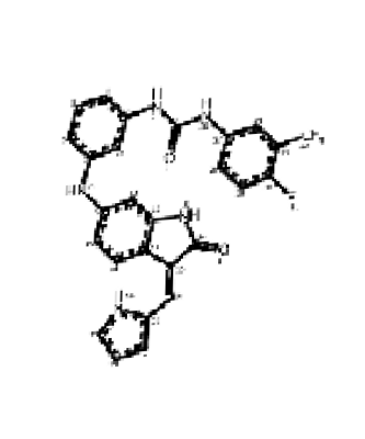 O=C(Nc1cccc(Nc2ccc3c(c2)NC(=O)C3=Cc2ccc[nH]2)c1)Nc1ccc(F)c(C(F)(F)F)c1